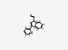 C=CC1C=C(c2ccccn2)c2ccccc21